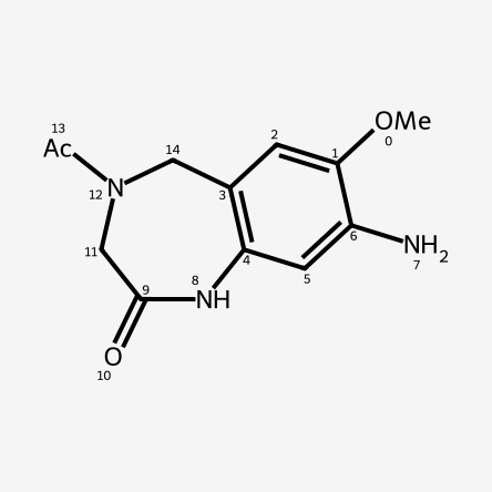 COc1cc2c(cc1N)NC(=O)CN(C(C)=O)C2